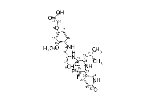 CC[C@@H](CNc1ccc(OCC(=O)O)cc1OC)NC(=O)[C@H](CC(C)C)N[C@@H](c1ccc(=O)[nH]c1)C(F)(F)F